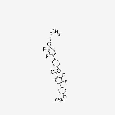 C=CCCCOc1ccc(C2CCC(OC(=O)c3ccc(C4CCC(OCCCC)CC4)c(F)c3F)CC2)c(F)c1F